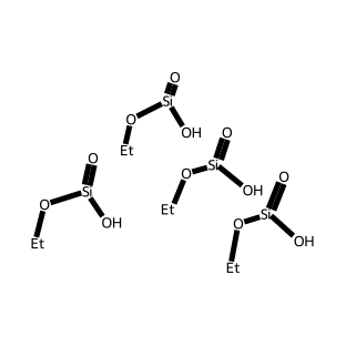 CCO[Si](=O)O.CCO[Si](=O)O.CCO[Si](=O)O.CCO[Si](=O)O